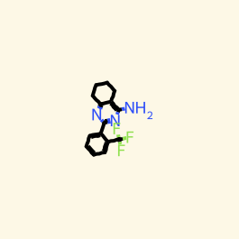 Nc1nc(-c2ccccc2C(F)(F)F)nc2c1CCCC2